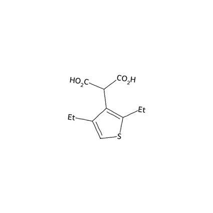 CCc1csc(CC)c1C(C(=O)O)C(=O)O